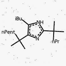 CCCCCC(C)(C)c1nc(C(C)(C)CCC)[nH]c1C(C)CC